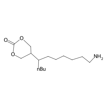 CCCCC(CCCCCCN)C1COC(=O)OC1